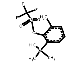 Cc1cccc([Si](C)(C)C)c1OS(=O)(=O)C(F)(F)F